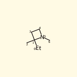 CCC1(C)CCN1C